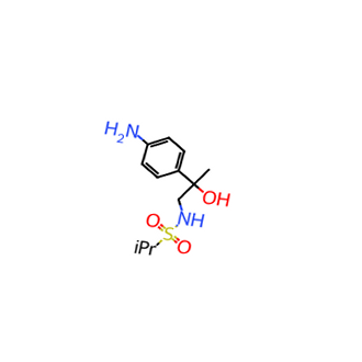 CC(C)S(=O)(=O)NCC(C)(O)c1ccc(N)cc1